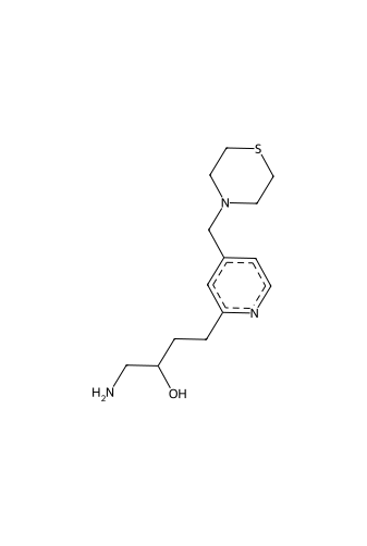 NCC(O)CCc1cc(CN2CCSCC2)ccn1